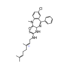 CC(C)=CCC/C(C)=C/CNC(=S)NC1N=C(c2ccccc2)c2cc(Cl)ccc2N(C)C1=O